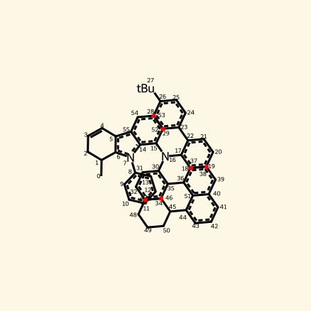 CC1CC=Cc2c1n(-c1ccccc1)c1c(N(c3ccccc3-c3ccc(C(C)(C)C)cc3)c3ccccc3-c3cccc4cccc(C5CCCCC5)c34)cccc21